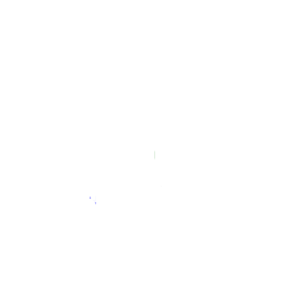 CC(F)C(F)C(F)C(F)CNF.Fc1ccccc1